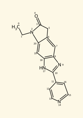 CCN1C(=O)Cc2cc3nc(-c4ccncc4)[nH]c3cc21